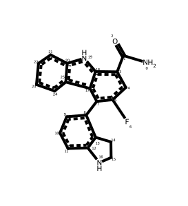 NC(=O)c1cc(F)c(-c2cccc3c2CCN3)c2c1[nH]c1ccccc12